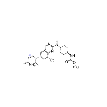 C=C(N)/C=C\C(=C(C)C)c1cc(CC)c2nc(N[C@H]3CC[C@H](NC(=O)OC(C)(C)C)CC3)ncc2c1